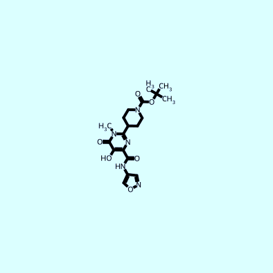 Cn1c(C2CCN(C(=O)OC(C)(C)C)CC2)nc(C(=O)Nc2cnoc2)c(O)c1=O